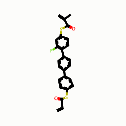 C=CC(=O)Sc1ccc(-c2ccc(-c3ccc(SC(=O)C(=C)C)cc3F)cc2)cc1